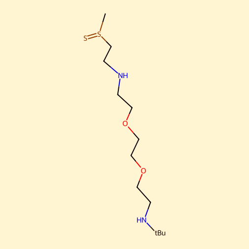 CS(=S)CCNCCOCCOCCNC(C)(C)C